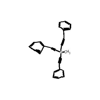 C[Si](C#Cc1ccccc1)(C#Cc1ccccc1)C#Cc1ccccc1